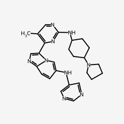 Cc1cnc(NC2CCC(N3CCCC3)CC2)nc1-c1cnc2ccc(Nc3cncnc3)cn12